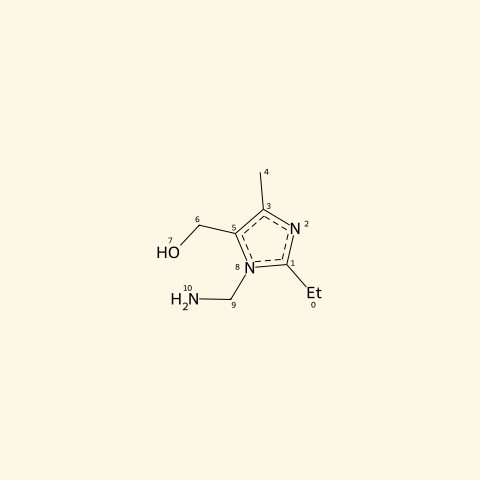 CCc1nc(C)c(CO)n1CN